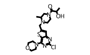 CC(O)C(=O)N1CCN(Cc2cc3nc(Cl)nc(N4CCOCC4)c3s2)C(C)C1